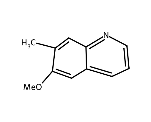 COc1cc2cccnc2cc1C